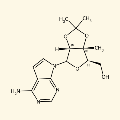 CC1(C)O[C@H]2C(n3ccc4c(N)ncnc43)O[C@H](CO)[C@@]2(C)O1